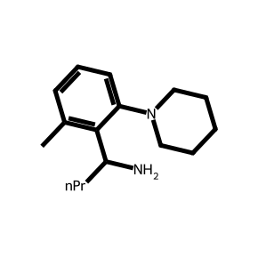 CCCC(N)c1c(C)cccc1N1CCCCC1